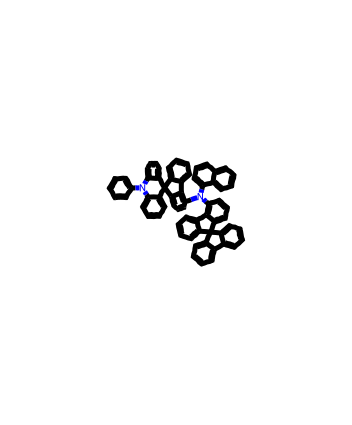 c1ccc(N2c3ccccc3C3(c4ccccc4-c4c(N(c5cccc6c5-c5ccccc5C65c6ccccc6-c6ccccc65)c5cccc6ccccc56)cccc43)c3ccccc32)cc1